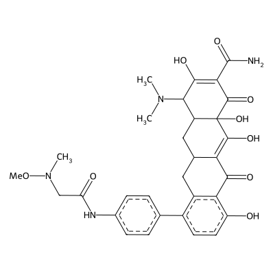 CON(C)CC(=O)Nc1ccc(-c2ccc(O)c3c2CC2CC4C(N(C)C)C(O)=C(C(N)=O)C(=O)C4(O)C(O)=C2C3=O)cc1